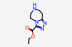 CCOC(=O)c1nnc2n1CCNCC2